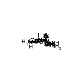 CNC(=O)Cc1ccc(NC(=O)OCC(Oc2cccc3sc(C(=N)N)cc23)c2ccccc2)cc1